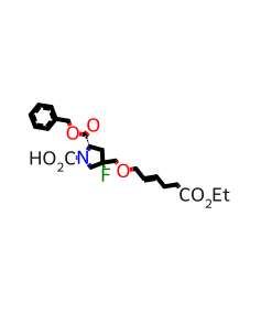 CCOC(=O)CC/C=C/COC[C@@]1(F)C[C@@H](C(=O)OCc2ccccc2)N(C(=O)O)C1